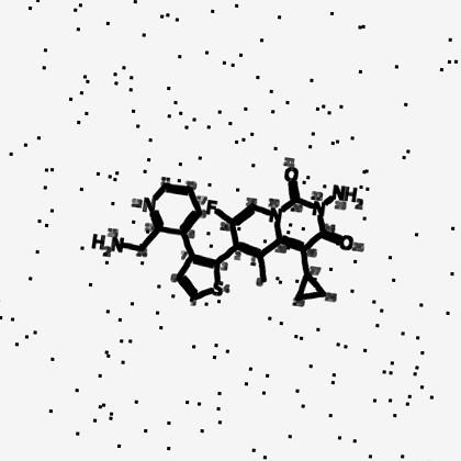 Cc1c(-c2sccc2-c2cccnc2CN)c(F)cn2c(=O)n(N)c(=O)c(C3CC3)c12